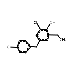 CCc1cc(Cc2ccc(Cl)cc2)cc(Cl)c1O